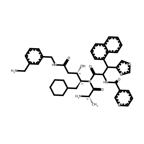 C[C@H](N)C(=O)N(C(=O)C(NC(=O)c1cccnc1)C(c1cscn1)c1cccc2ccccc12)[C@@H](CC1CCCCC1)[C@@H](O)CC(=O)NCc1cccc(CN)c1